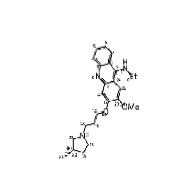 CCNc1c2ccccc2nc2cc(OCCCN3CC[C@@H](F)C3)c(OC)cc12